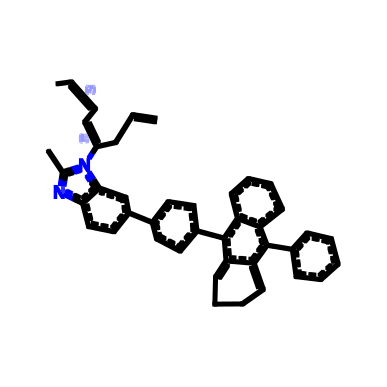 C=CC/C(=C\C=C/C)n1c(C)nc2ccc(-c3ccc(-c4c5c(c(-c6ccccc6)c6ccccc46)=CCCC=5)cc3)cc21